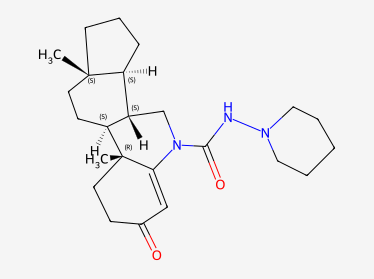 C[C@@]12CCC[C@H]1[C@@H]1CN(C(=O)NN3CCCCC3)C3=CC(=O)CC[C@]3(C)[C@H]1CC2